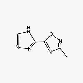 Cc1noc(-c2nnc[nH]2)n1